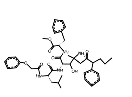 CCCC(C(=O)CC(C)(N)C(O)[C@H](NC(=O)[C@H](CC(C)C)NC(=O)COc1ccccc1)C(=O)N[C@@H](Cc1ccccc1)C(=O)OC)c1ccccc1